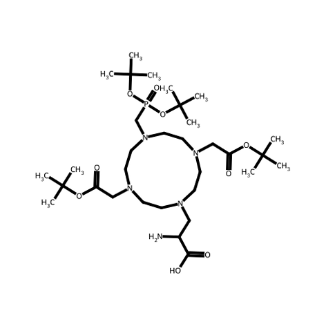 CC(C)(C)OC(=O)CN1CCN(CC(N)C(=O)O)CCN(CC(=O)OC(C)(C)C)CCN(CP(=O)(OC(C)(C)C)OC(C)(C)C)CC1